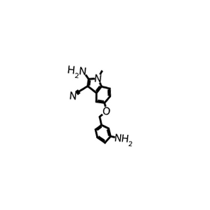 Cn1c(N)c(C#N)c2cc(OCc3cccc(N)c3)ccc21